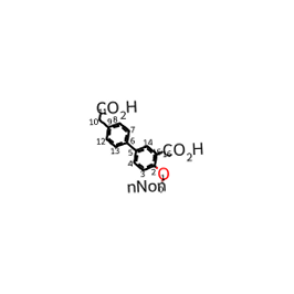 CCCCCCCCCOc1ccc(-c2ccc(CC(=O)O)cc2)cc1C(=O)O